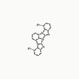 CC(C)c1cccc2nc3n(c4cccc5c4n3c3nc4cccc(C(C)C)c4n53)c12